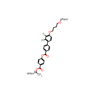 CCCCCC[C@@H](OC(=O)c1ccc(OC(=O)c2ccc(-c3ccc(OCCCCOCCCCC)c(F)c3F)cc2)cc1)C(F)(F)F